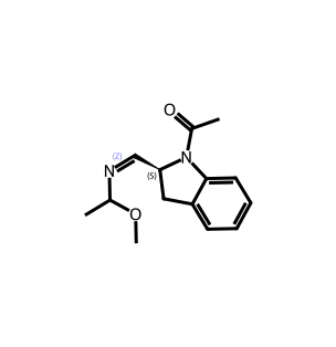 COC(C)/N=C\[C@@H]1Cc2ccccc2N1C(C)=O